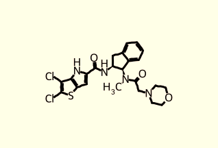 CN(C(=O)CN1CCOCC1)[C@@H]1c2ccccc2C[C@@H]1NC(=O)c1cc2sc(Cl)c(Cl)c2[nH]1